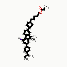 C=CC(=O)OCCCCCc1ccc(-c2ccc3c(c2)C(C)(C)c2cc(-c4ccc(C(=C)CC)cc4)cc(I)c2-3)cc1